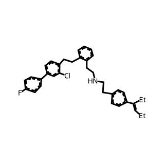 CC/C=C(\CC)c1ccc(CCNCCc2ccccc2CCc2ccc(-c3ccc(F)cc3)cc2Cl)cc1